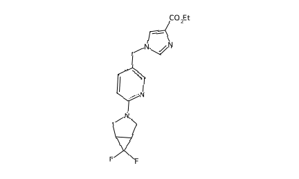 CCOC(=O)c1cn(Cc2ccc(N3CC4C(C3)C4(F)F)nc2)cn1